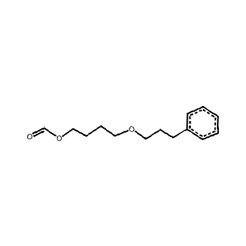 O=[C]OCCCCOCCCc1ccccc1